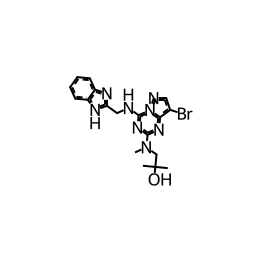 CN(CC(C)(C)O)c1nc(NCc2nc3ccccc3[nH]2)n2ncc(Br)c2n1